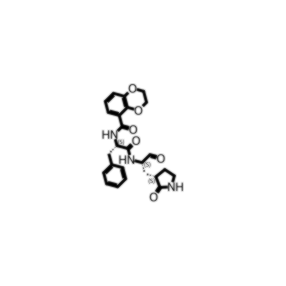 O=C[C@H](C[C@@H]1CCNC1=O)NC(=O)[C@H](Cc1ccccc1)NC(=O)c1cccc2c1OCCO2